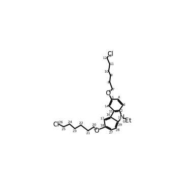 CCn1c2ccc(OCCCCCCCl)cc2c2cc(OCCCCCCCl)ccc21